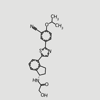 CC(C)Oc1ccc(-c2ncc(-c3cccc4c3CC[C@@H]4NC(=O)CO)s2)cc1C#N